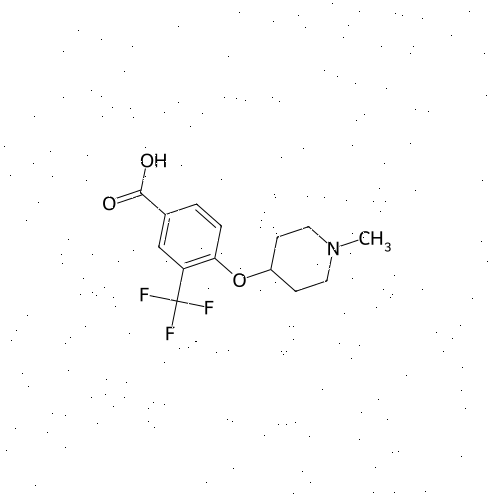 CN1CCC(Oc2ccc(C(=O)O)cc2C(F)(F)F)CC1